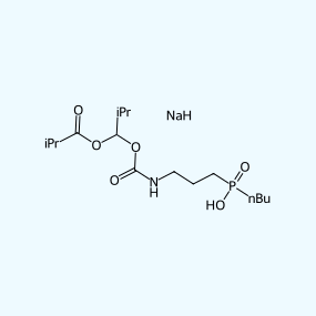 CCCCP(=O)(O)CCCNC(=O)OC(OC(=O)C(C)C)C(C)C.[NaH]